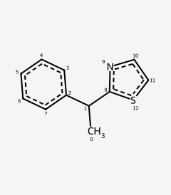 CC(c1ccccc1)c1nccs1